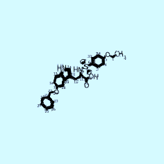 CCOc1ccc(S(=O)(=O)NC(Cc2c[nH]c3ccc(OCc4ccccc4)cc23)C(=O)O)cc1